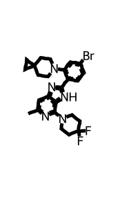 Cc1cc2nc(-c3ccc(Br)cc3N3CCC4(CC3)CC4)[nH]c2c(N2CCC(F)(F)CC2)n1